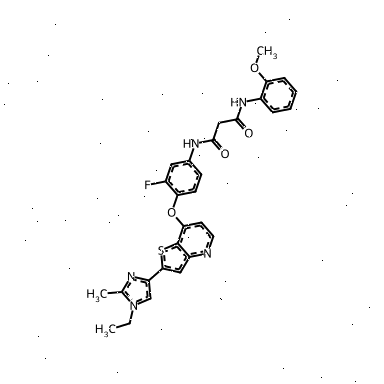 CCn1cc(-c2cc3nccc(Oc4ccc(NC(=O)CC(=O)Nc5ccccc5OC)cc4F)c3s2)nc1C